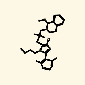 CCCCn1c(-c2c(C)cccc2C)nc(Cl)c1CC(C)(C)CN1CCc2ccccc2C1OC